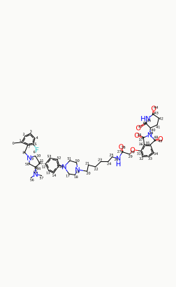 Cc1cccc(F)c1CN1C[C@H](c2ccc(N3CCN(CCCCCCNC(=O)COc4cccc5c4C(=O)N(C4CCC(=O)NC4=O)C5=O)CC3)cc2)[C@@H](N(C)C)C1